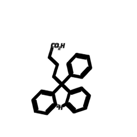 [2H]c1ccccc1C(CCCC(=O)O)(c1ccccc1)c1ccccc1